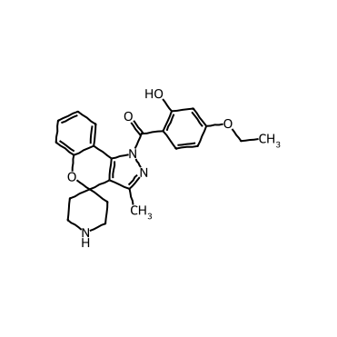 CCOc1ccc(C(=O)n2nc(C)c3c2-c2ccccc2OC32CCNCC2)c(O)c1